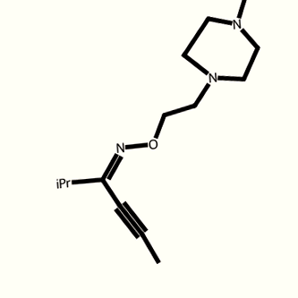 CC#C/C(=N\OCCN1CCN(C)CC1)C(C)C